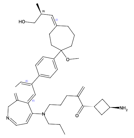 C=C1CN=CC=C(N(CCC)CCCC(=C)C(=O)[C@H]2C[C@H](N)C2)/C1=C/C(=C\C)c1ccc(C2(OC)CCC/C(=C/[C@H](C)CO)CC2)cc1